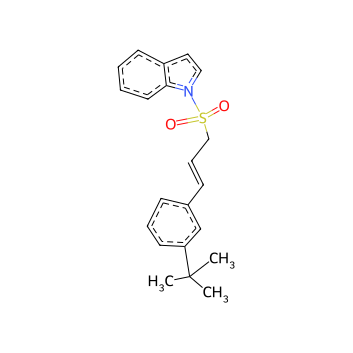 CC(C)(C)c1cccc(C=CCS(=O)(=O)n2ccc3ccccc32)c1